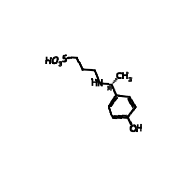 C[C@@H](NCCCS(=O)(=O)O)c1ccc(O)cc1